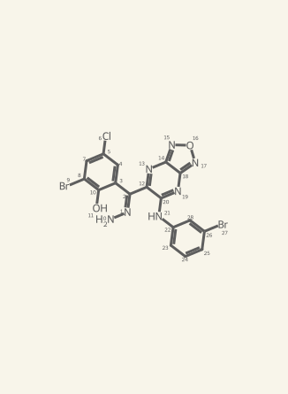 NN=C(c1cc(Cl)cc(Br)c1O)c1nc2nonc2nc1Nc1cccc(Br)c1